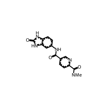 CNC(=O)c1ccc(C(=O)Nc2ccc3[nH]c(=O)[nH]c3c2)cn1